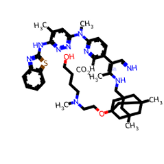 C/C(NCC12CC3(C)CC(C)(C1)CC(OCCN(C)CCCCO)(C3)C2)=C(/C=N)c1ccc(N(C)c2cc(C)c(Nc3nc4ccccc4s3)nn2)nc1C(=O)O